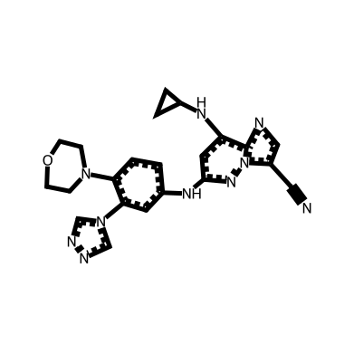 N#Cc1cnc2c(NC3CC3)cc(Nc3ccc(N4CCOCC4)c(-n4cnnc4)c3)nn12